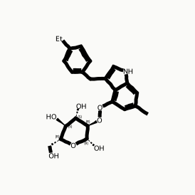 CCc1ccc(Cc2c[nH]c3cc(C)cc(OO[C@@H]4[C@@H](O)[C@H](O)[C@@H](CO)O[C@H]4O)c23)cc1